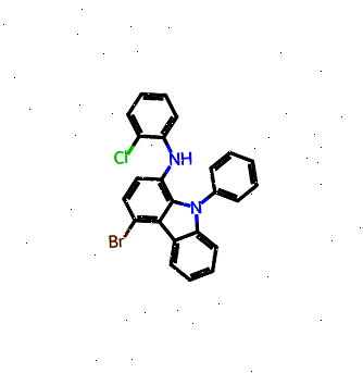 Clc1ccccc1Nc1ccc(Br)c2c3ccccc3n(-c3ccccc3)c12